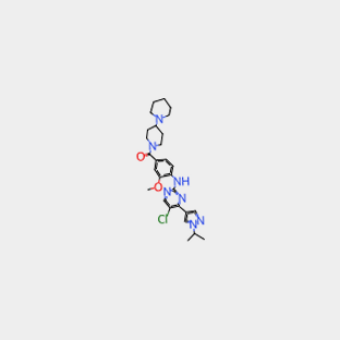 COc1cc(C(=O)N2CCC(N3CCCCC3)CC2)ccc1Nc1ncc(Cl)c(-c2cnn(C(C)C)c2)n1